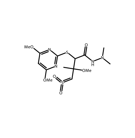 COc1cc(OC)nc(SC(C(=O)NN(C)C)C(C)(C=S(=O)=O)OC)n1